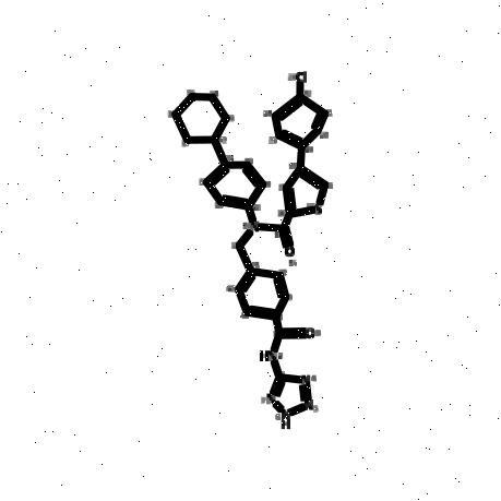 O=C(Nc1nn[nH]n1)c1ccc(CN(C(=O)c2cc(-c3ccc(Cl)cc3)cs2)c2ccc(C3CCCCC3)cc2)cc1